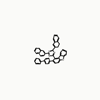 C1=C(c2nc(-c3ccc4ccccc4c3)nc(-c3c(-c4ccc(-c5ccccc5)cc4)ccc4oc5ccccc5c34)n2)CCc2ccccc21